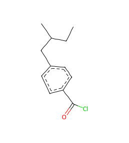 CCC(C)Cc1ccc(C(=O)Cl)cc1